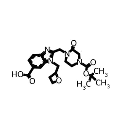 CC(C)(C)OC(=O)N1CCN(Cc2nc3ccc(C(=O)O)cc3n2CC2CCO2)C(=O)C1